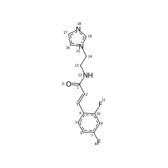 O=C(C=Cc1ccc(F)cc1F)NCCn1ccnc1